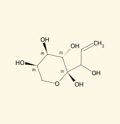 C=CC(O)[C@]1(O)OC[C@@H](O)[C@@H](O)[C@@H]1O